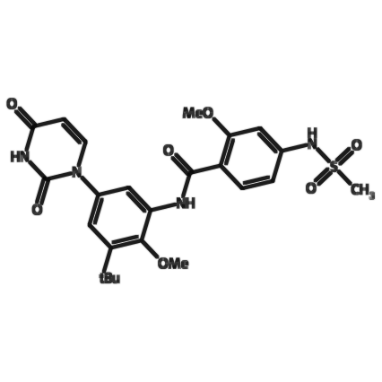 COc1cc(NS(C)(=O)=O)ccc1C(=O)Nc1cc(-n2ccc(=O)[nH]c2=O)cc(C(C)(C)C)c1OC